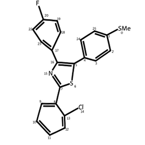 CSc1ccc(-c2sc(-c3ccccc3Cl)nc2-c2ccc(F)cc2)cc1